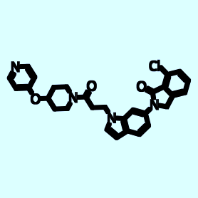 O=C(CCn1ccc2ccc(N3Cc4cccc(Cl)c4C3=O)cc21)N1CCC(Oc2ccncc2)CC1